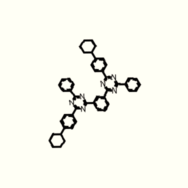 c1ccc(-c2nc(-c3ccc(C4CCCCC4)cc3)nc(-c3cccc(-c4nc(-c5ccccc5)nc(-c5ccc(C6CCCCC6)cc5)n4)c3)n2)cc1